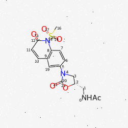 CC(=O)NC[C@H]1CN(c2ccc3c(ccc(=O)n3S(C)(=O)=O)c2)C(=O)O1